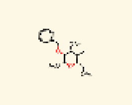 CC(=O)OC[C@@H]1O[C@H](OC(C)=O)[C@@H](OCc2ccccc2)[C@H](OC(C)=O)[C@H]1C